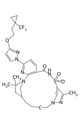 Cc1nn2cc1S(=O)(=O)NC(=O)c1ccc(-n3ccc(OCCC4(C(F)(F)F)CC4)n3)nc1N1CC(CCCC2)CC1(C)C